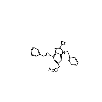 CCc1cc2c(OCc3ccccc3)cc(COC(C)=O)cc2n1Cc1ccccc1